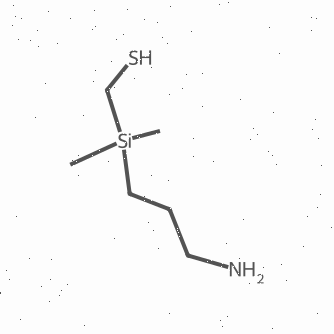 C[Si](C)(CS)CCCN